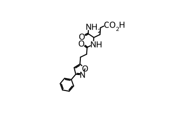 NC(=O)C(CCC(=O)O)NC(=O)CCc1cc(-c2ccccc2)no1